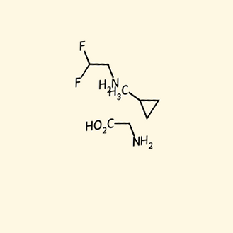 CC1CC1.NCC(=O)O.NCC(F)F